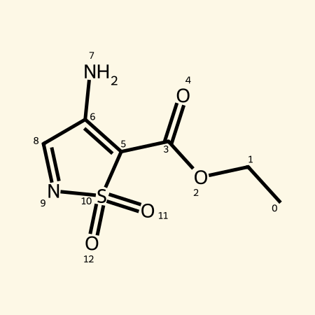 CCOC(=O)C1=C(N)C=NS1(=O)=O